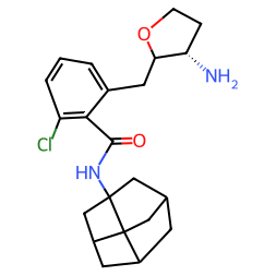 N[C@H]1CCOC1Cc1cccc(Cl)c1C(=O)NC12CC3CC4CC(C1)C42C3